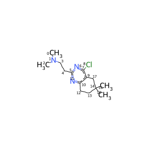 CN(C)CCc1nc(Cl)c2c(n1)CCC(C)(C)C2